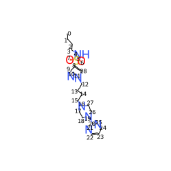 CCCCNS(=O)(=O)c1cnn(CCCCN2CCN(c3ncccn3)CC2)c1